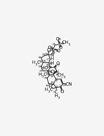 CC1(C)C(=O)C(C#N)=C[C@]2(C)C3=CC(=O)[C@]4(O)[C@@H]5C[C@@](C)(NS(=O)(=O)CS(C)(=O)=O)CC[C@]5(C)CC[C@@]4(C)[C@]3(C)CC[C@@H]12